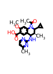 COc1cc2c(cc1C(=O)O)C(Nc1nccc(C)n1)[C@@H](C)C(C1CC1)N2C(C)=O